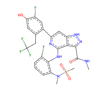 CNC(=O)c1n[nH]c2cc(-c3cc(F)c(O)cc3CC(F)(F)F)nc(Nc3c(F)cccc3N(C)S(C)(=O)=O)c12